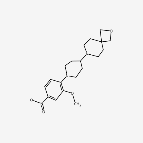 COc1cc([N+](=O)[O-])ccc1N1CCC(N2CCC3(CC2)COC3)CC1